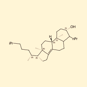 CCCC1C2CCC3=C4CC[C@H]([C@H](C)CCCC(C)C)[C@@]4(C)CC[C@@H]3[C@@]2(C)CC[C@@H]1O